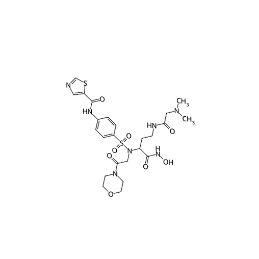 CN(C)CC(=O)NCCC(C(=O)NO)N(CC(=O)N1CCOCC1)S(=O)(=O)c1ccc(NC(=O)c2cncs2)cc1